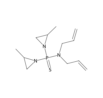 C=CCN(CC=C)P(=S)(N1CC1C)N1CC1C